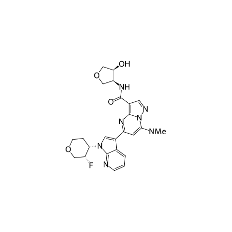 CNc1cc(-c2cn([C@H]3CCOC[C@H]3F)c3ncccc23)nc2c(C(=O)N[C@H]3COC[C@H]3O)cnn12